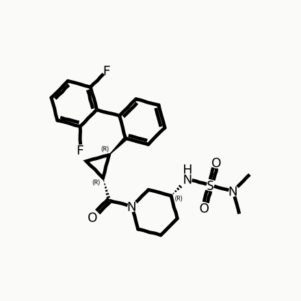 CN(C)S(=O)(=O)N[C@@H]1CCCN(C(=O)[C@@H]2C[C@H]2c2ccccc2-c2c(F)cccc2F)C1